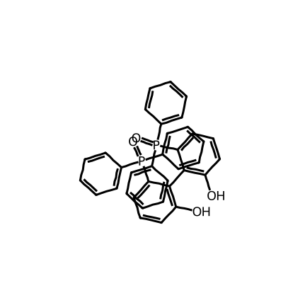 O=P(c1ccccc1)(c1ccccc1)c1cccc(O)c1-c1c(O)cccc1P(=O)(c1ccccc1)c1ccccc1